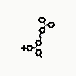 Cc1ccc(N(c2ccc(/C=C/c3ccc(N(c4ccccc4)c4ccccc4)cc3)cc2)c2ccc(C(C)(C)C)cc2)cc1